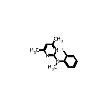 Cc1cc(C)nc(N(C)c2ccccc2I)n1